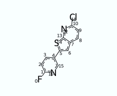 Fc1ccc(-c2cc3ccc(Cl)nc3s2)cn1